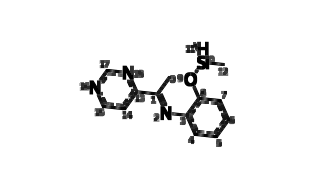 CC(=Nc1ccccc1O[SiH](C)C)c1ccncn1